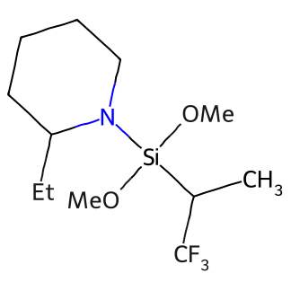 CCC1CCCCN1[Si](OC)(OC)C(C)C(F)(F)F